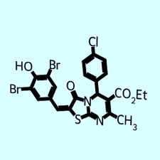 CCOC(=O)C1=C(C)N=c2s/c(=C/c3cc(Br)c(O)c(Br)c3)c(=O)n2C1c1ccc(Cl)cc1